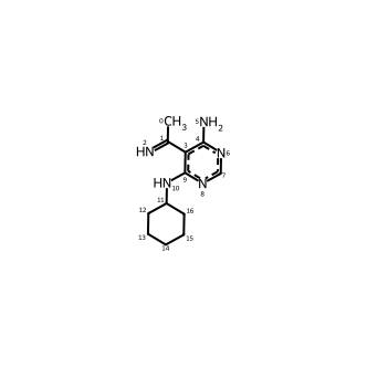 CC(=N)c1c(N)ncnc1NC1CCCCC1